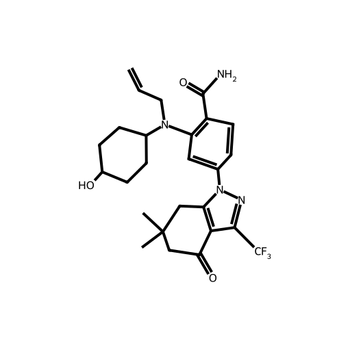 C=CCN(c1cc(-n2nc(C(F)(F)F)c3c2CC(C)(C)CC3=O)ccc1C(N)=O)C1CCC(O)CC1